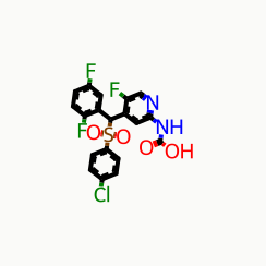 O=C(O)Nc1cc(C(c2cc(F)ccc2F)S(=O)(=O)c2ccc(Cl)cc2)c(F)cn1